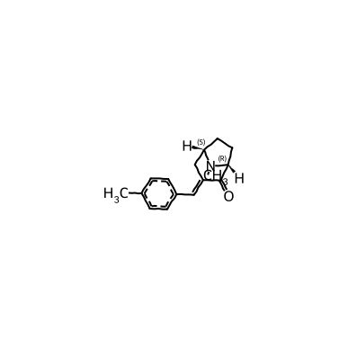 Cc1ccc(C=C2C[C@@H]3CC[C@H](C2=O)N3C)cc1